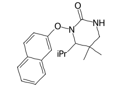 CC(C)C1N(Oc2ccc3ccccc3c2)C(=O)NCC1(C)C